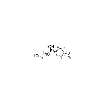 C=Cc1ccc(B(O)OCCO)cc1